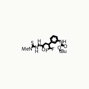 CNC(=S)NNC(=O)CC(c1cccc(NC(=O)OC(C)(C)C)c1)C(F)F